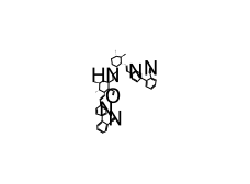 C[C@H]1[C@H](/C=C/c2ccc(-c3ccccc3C#N)cn2)[C@H](CNCC2C[C@H](C)[C@@H](C)[C@H](/C=C/c3ccc(-c4ccccc4C#N)cn3)C2C=O)CC[C@@H]1C